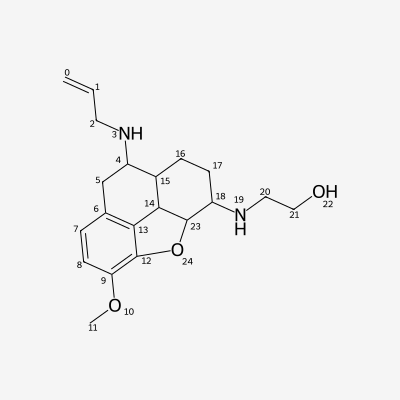 C=CCNC1Cc2ccc(OC)c3c2C2C1CCC(NCCO)C2O3